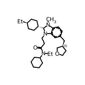 CCN(C(=O)CCN1c2cc(C[C@H]3CCOC3)ccc2N(C)C1[C@H]1CC[C@H](CC)CC1)C1CCCCC1